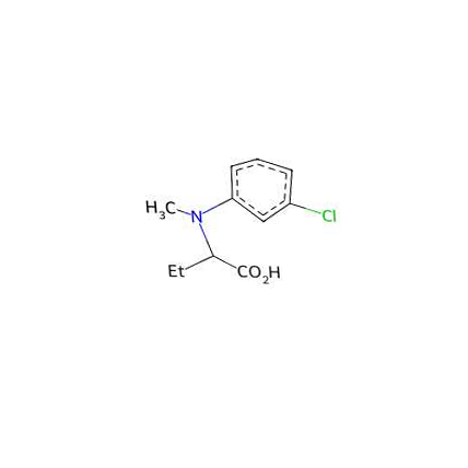 CCC(C(=O)O)N(C)c1cccc(Cl)c1